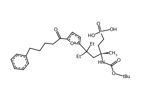 CCC(CC)(C[C@](C)(CCP(=O)(O)O)NC(=O)OC(C)(C)C)c1ccc(C(=O)CCCCc2ccccc2)o1